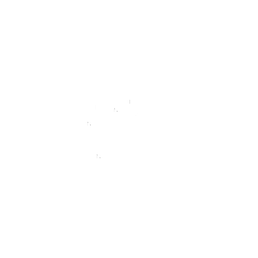 CN(C)c1c(Oc2ccccc2)ccc(C#N)c1C#N